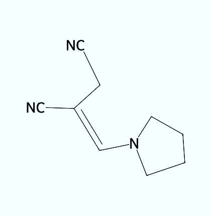 N#CCC(C#N)=CN1CCCC1